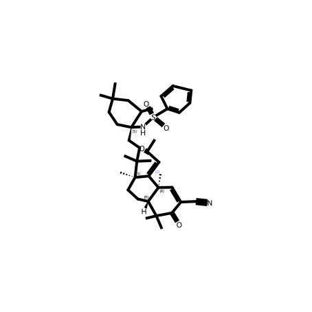 CC(=O)/C=C1/[C@@]2(C)C=C(C#N)C(=O)C(C)(C)[C@@H]2CC[C@@]1(C)C(C)(C)CC[C@@]1(NS(=O)(=O)c2ccccc2)CCC(C)(C)CC1C